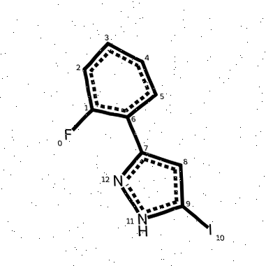 Fc1ccccc1-c1cc(I)[nH]n1